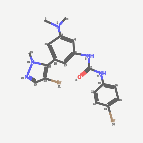 CN(C)c1cc(NC(=O)Nc2ccc(Br)cc2)cc(-c2c(Br)cnn2C)c1